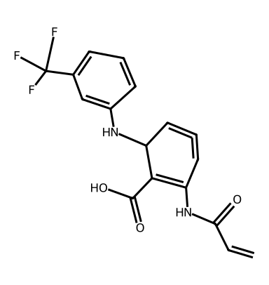 C=CC(=O)NC1=C(C(=O)O)C(Nc2cccc(C(F)(F)F)c2)C=C=C1